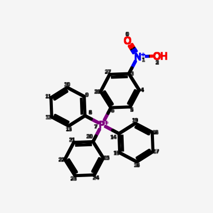 O=[N+](O)c1ccc([P+](c2ccccc2)(c2ccccc2)c2ccccc2)cc1